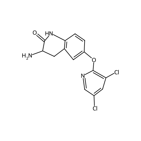 NC1Cc2cc(Oc3ncc(Cl)cc3Cl)ccc2NC1=O